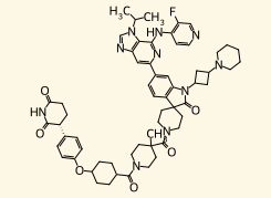 CC(C)n1cnc2cc(-c3ccc4c(c3)N(C3CC(N5CCCCC5)C3)C(=O)C43CCN(C(=O)C4(C)CCN(C(=O)C5CCC(Oc6ccc([C@H]7CCC(=O)NC7=O)cc6)CC5)CC4)CC3)nc(Nc3ccncc3F)c21